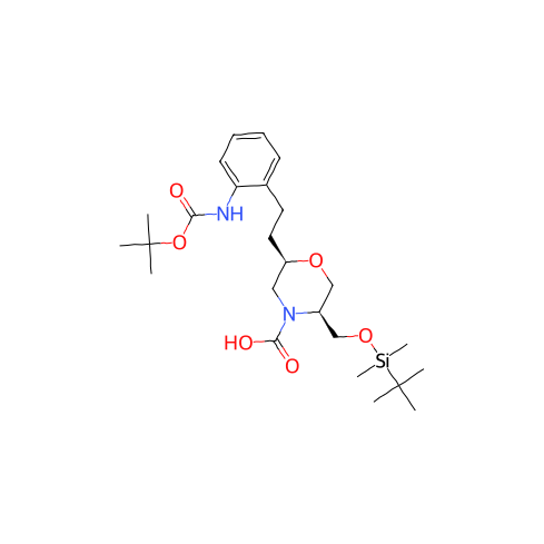 CC(C)(C)OC(=O)Nc1ccccc1CC[C@@H]1CN(C(=O)O)[C@H](CO[Si](C)(C)C(C)(C)C)CO1